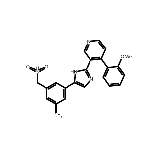 COc1ccccc1-c1ccncc1-c1ncc(-c2cc(C[SH](=O)=O)cc(C(F)(F)F)c2)[nH]1